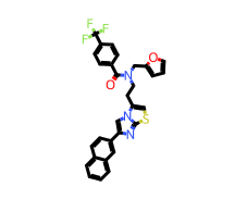 O=C(c1ccc(C(F)(F)F)cc1)N(CCc1csc2nc(-c3ccc4ccccc4c3)cn12)Cc1ccco1